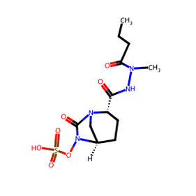 CCCC(=O)N(C)NC(=O)[C@@H]1CC[C@@H]2CN1C(=O)N2OS(=O)(=O)O